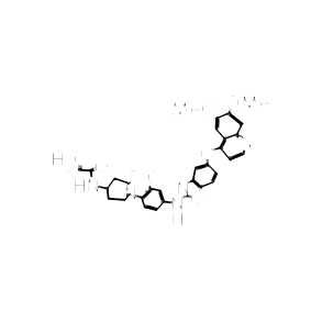 C=CC(=O)NC1CCN(c2ccc(Nc3nc4cc(Oc5ccnc6cc(OC)c(OC)cc56)ccc4o3)cc2C(F)(F)F)CC1